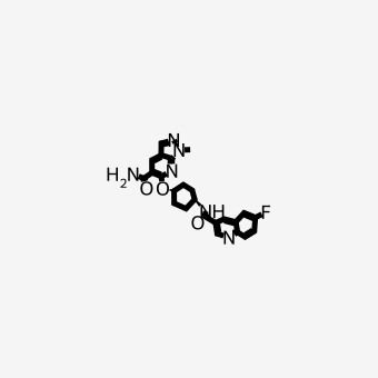 Cn1ncc2cc(C(N)=O)c(O[C@H]3CC[C@H](NC(=O)c4cnc5ccc(F)cc5c4)CC3)nc21